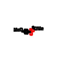 C=C(OC)OOC(=O)c1ccc(COC)cc1